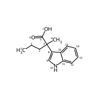 CCCC(C)(C(=O)O)c1c[nH]c2ccccc12